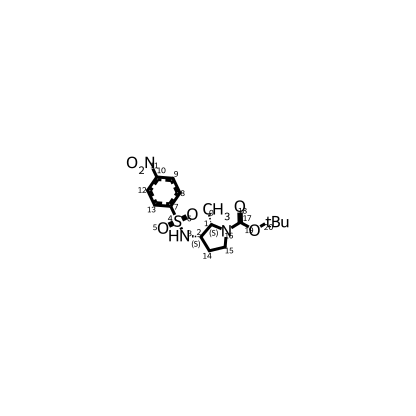 C[C@H]1[C@@H](NS(=O)(=O)c2ccc([N+](=O)[O-])cc2)CCN1C(=O)OC(C)(C)C